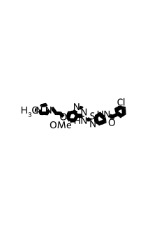 COc1cc2c(Nc3nc4ccc(NC(=O)c5cccc(Cl)c5)cc4s3)ncnc2cc1OCCCN1CCN(C)CC1